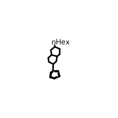 CCCCCCC1CCC2CC(c3ccccc3)CCC2C1